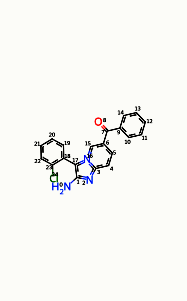 Nc1nc2ccc(C(=O)c3ccccc3)cn2c1-c1ccccc1Cl